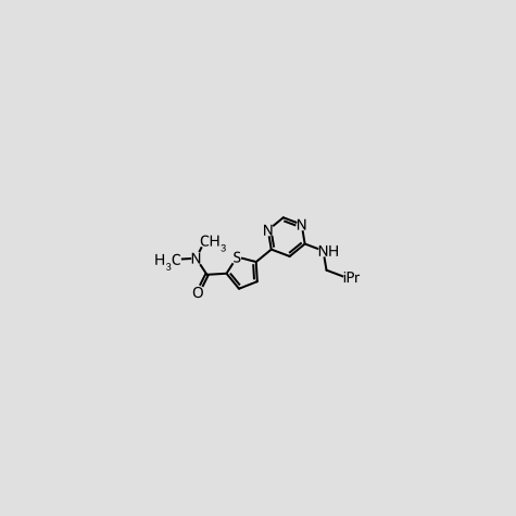 CC(C)CNc1cc(-c2ccc(C(=O)N(C)C)s2)ncn1